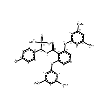 COc1cc(OC)nc(Oc2cccc(Oc3nc(OC)cc(OC)n3)c2C(=O)OC(c2ccc(Cl)cc2)P(=O)(OC)OC)n1